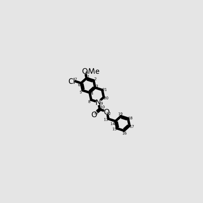 COc1cc2c(cc1Cl)CN(C(=O)OCc1ccccc1)CC2